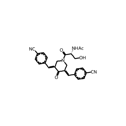 CC(=O)N[C@H](CO)C(=O)N1C/C(=C\c2ccc(C#N)cc2)C(=O)/C(=C/c2ccc(C#N)cc2)C1